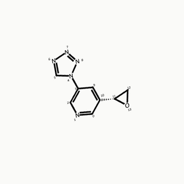 c1ncc(-n2cnnn2)cc1[C@@H]1CO1